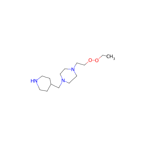 CCOOCCN1CCN(CC2CCNCC2)CC1